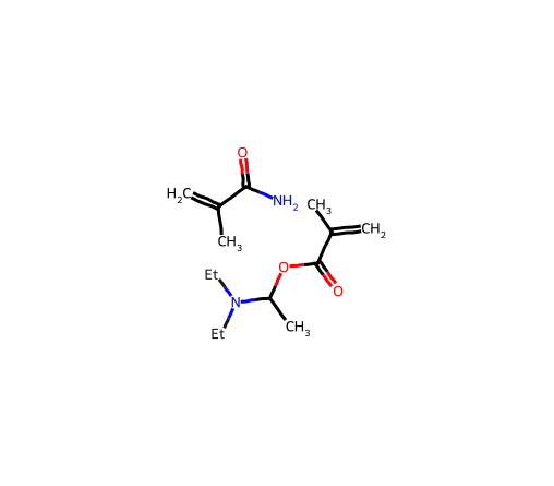 C=C(C)C(=O)OC(C)N(CC)CC.C=C(C)C(N)=O